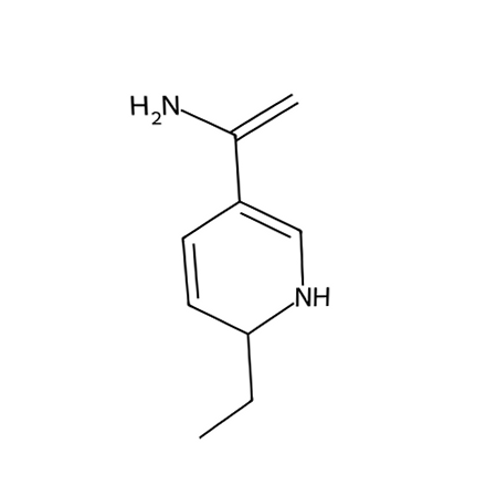 C=C(N)C1=CNC(CC)C=C1